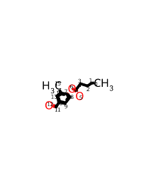 CCC[CH]C(=O)Oc1ccc(C=O)cc1C